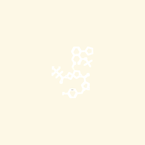 CC(C)(C)OC(=O)c1c(COC[C@@H]2CN(C(=O)c3cnn(Cc4ccc(F)cc4)c3)CC23CN(C(=O)C(C)(C)C(F)(F)F)C3)cccc1C1CCCC1